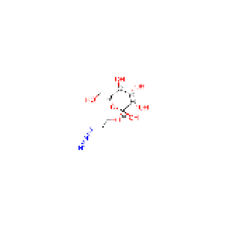 [N-]=[N+]=NCCO[C@]1(O)O[C@H](CO)[C@@H](O)[C@H](O)[C@@H]1O